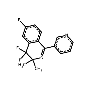 CC1(C)N=C(c2cccnc2)c2ccc(F)cc2C1(F)F